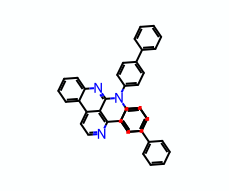 c1ccc(-c2ccc(N(c3ccc(-c4ccccc4)cc3)c3nc4ccccc4c4ccnc(-c5ccccc5)c34)cc2)cc1